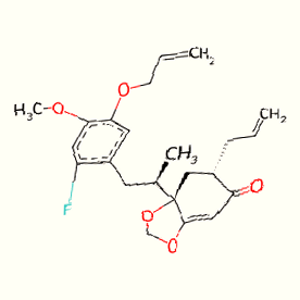 C=CCOc1cc(C[C@@H](C)[C@]23C[C@H](CC=C)C(=O)C=C2OCO3)c(F)cc1OC